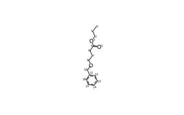 CCCOC(=O)CCCOCc1ccccc1